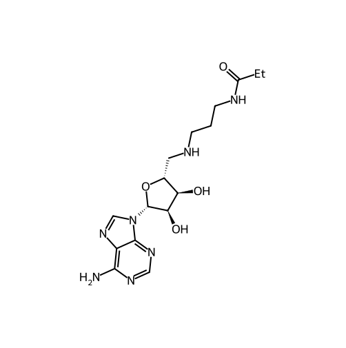 CCC(=O)NCCCNC[C@H]1O[C@@H](n2cnc3c(N)ncnc32)[C@H](O)[C@@H]1O